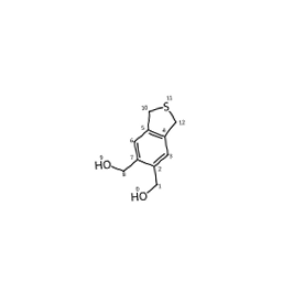 OCc1cc2c(cc1CO)CSC2